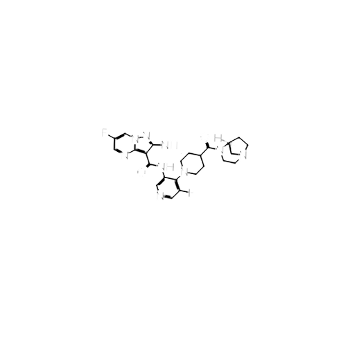 Nc1nn2cc(F)cnc2c1C(=O)Nc1cncc(F)c1N1CCC(C(=O)N2CCN3CC[C@@H]2C3)CC1